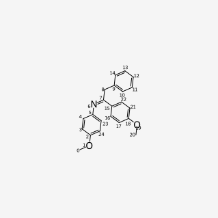 COc1ccc(/N=C(/Cc2ccccc2)c2ccc(OC)cc2)cc1